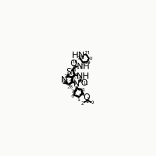 CC(C)Oc1cccc(N2C(=O)Nc3c(C(=O)N[C@@H]4CCCNC4)sc4nccc2c34)c1